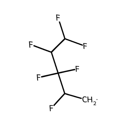 [CH2]C(F)C(F)(F)C(F)C(F)F